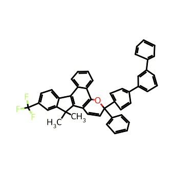 CC1(C)c2cc(C(F)(F)F)ccc2-c2c1c1c(c3ccccc23)OC(c2ccccc2)(c2ccc(-c3cccc(-c4ccccc4)c3)cc2)C=C1